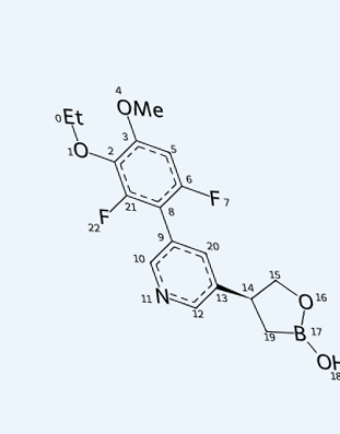 CCOc1c(OC)cc(F)c(-c2cncc([C@H]3COB(O)C3)c2)c1F